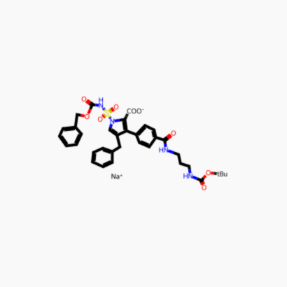 CC(C)(C)OC(=O)NCCCNC(=O)c1ccc(-c2c(Cc3ccccc3)cn(S(=O)(=O)NC(=O)OCc3ccccc3)c2C(=O)[O-])cc1.[Na+]